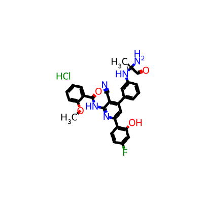 COc1ccccc1C(=O)Nc1nc(-c2ccc(F)cc2O)cc(-c2cccc(N[C@](C)(N)C=O)c2)c1C#N.Cl